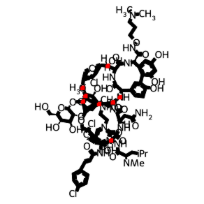 CN[C@H](CC(C)C)C(=O)N[C@H]1C(=O)N[C@@H](CC(N)=O)C(=O)N[C@H]2C(=O)N[C@H]3C(=O)N[C@H](C(=O)N[C@@H](C(=O)NOCCCN(C)C)c4cc(O)cc(O)c4-c4cc3ccc4O)[C@H](O)c3ccc(c(Cl)c3)Oc3cc2cc(c3O[C@@H]2O[C@H](CO)[C@@H](O)[C@H](O)[C@H]2O[C@H]2C[C@](C)(NCCn3ccc(NC(=O)/C=C/c4ccc(Cl)cc4)nc3=O)[C@H](O)[C@H](C)O2)Oc2ccc(cc2Cl)[C@H]1O